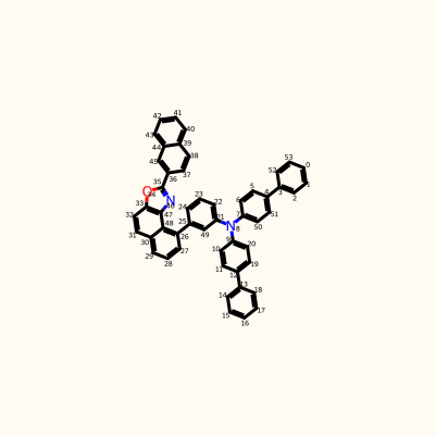 c1ccc(-c2ccc(N(c3ccc(-c4ccccc4)cc3)c3cccc(-c4cccc5ccc6oc(-c7ccc8ccccc8c7)nc6c45)c3)cc2)cc1